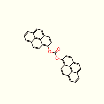 O=C(Oc1ccc2ccc3cccc4ccc1c2c34)Oc1ccc2ccc3cccc4ccc1c2c34